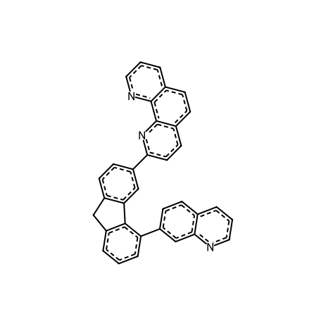 c1cc2c(c(-c3ccc4cccnc4c3)c1)-c1cc(-c3ccc4ccc5cccnc5c4n3)ccc1C2